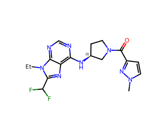 CCn1c(C(F)F)nc2c(N[C@H]3CCN(C(=O)c4ccn(C)n4)C3)ncnc21